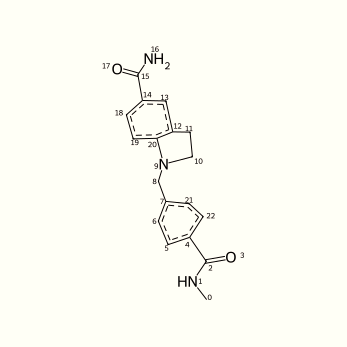 CNC(=O)c1ccc(CN2CCc3cc(C(N)=O)ccc32)cc1